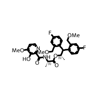 COCc1cc(F)ccc1C(c1ccc(F)cc1COC)[C@H](C)OC(=O)[C@H](C)NC(=O)c1nccc(OC)c1O